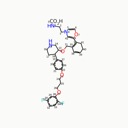 O=C(O)NCCN1C=COC(C2=C(COC3CNCCC3c3ccc(OCCCOc4cc(F)ccc4F)cc3)C=CCC2)=C1